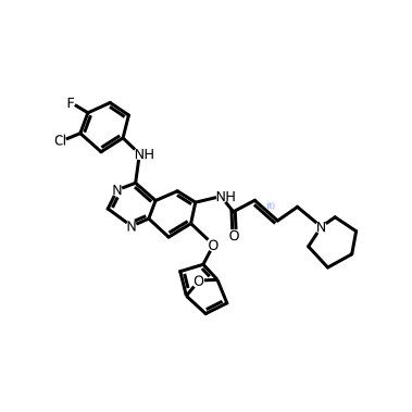 O=C(/C=C/CN1CCCCC1)Nc1cc2c(Nc3ccc(F)c(Cl)c3)ncnc2cc1Oc1cc2ccc1o2